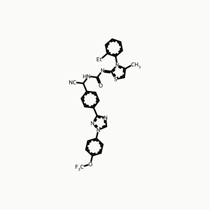 CCc1ccccc1-n1c(C)cs/c1=N\C(=O)NC(C#N)c1ccc(-c2ncn(-c3ccc(OC(F)(F)F)cc3)n2)cc1